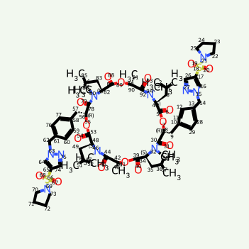 CC(C)C[C@H]1C(=O)O[C@H](Cc2ccc(Cn3cc(S(=O)(=O)N4CCCC4)cn3)cc2)C(=O)N(C)[C@@H](CC(C)C)C(=O)O[C@H](C)C(=O)N(C)[C@@H](CC(C)C)C(=O)O[C@H](Cc2ccc(Cn3cc(S(=O)(=O)N4CCCC4)cn3)cc2)C(=O)N(C)[C@@H](CC(C)C)C(=O)O[C@H](C)C(=O)N1C